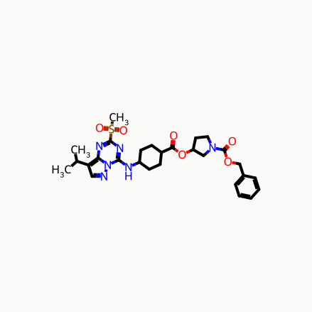 CC(C)c1cnn2c(NC3CCC(C(=O)OC4CCN(C(=O)OCc5ccccc5)C4)CC3)nc(S(C)(=O)=O)nc12